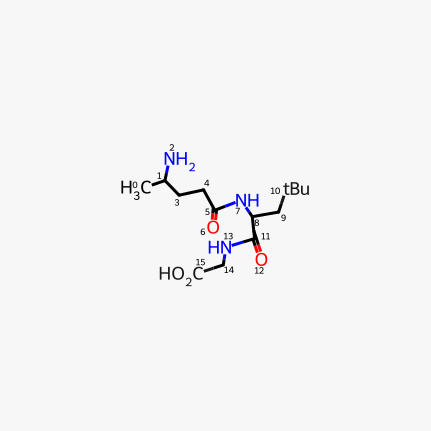 CC(N)CCC(=O)NC(CC(C)(C)C)C(=O)NCC(=O)O